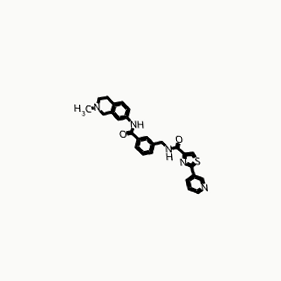 CN1CCc2ccc(NC(=O)c3cccc(CNC(=O)c4csc(-c5cccnc5)n4)c3)cc2C1